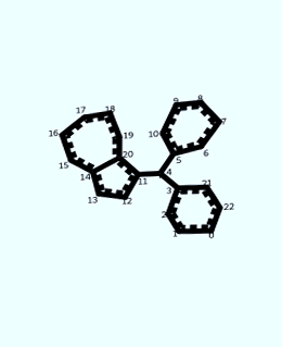 c1ccc([C](c2ccccc2)c2ccc3cccccc2-3)cc1